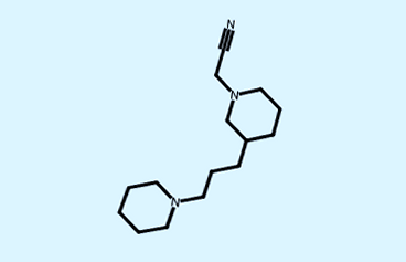 N#CCN1CCCC(CCCN2CCCCC2)C1